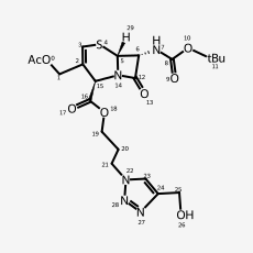 CC(=O)OCC1=CS[C@@H]2[C@H](NC(=O)OC(C)(C)C)C(=O)N2[C@H]1C(=O)OCCCn1cc(CO)nn1